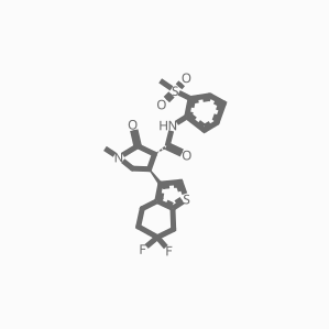 CN1C[C@H](c2csc3c2CCC(F)(F)C3)[C@@H](C(=O)Nc2ccccc2S(C)(=O)=O)C1=O